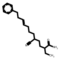 CCC(CCC(C#N)CCC/C=C/CCc1ccccc1)C(N)=O